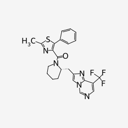 Cc1nc(C(=O)N2CCCC[C@H]2Cc2cn3cncc(C(F)(F)F)c3n2)c(-c2ccccc2)s1